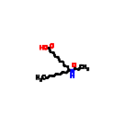 C=CC(=O)NC(CCCCCCCC)CCCCCCCCC(=O)O